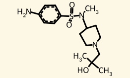 CN(C1CCN(CC(C)(C)O)CC1)S(=O)(=O)c1ccc(N)cc1